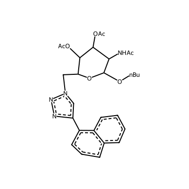 CCCCOC1OC(Cn2cc(-c3cccc4ccccc34)nn2)C(OC(C)=O)C(OC(C)=O)C1NC(C)=O